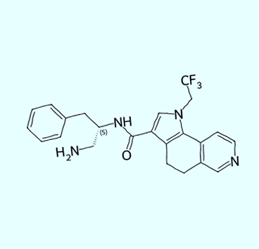 NC[C@H](Cc1ccccc1)NC(=O)c1cn(CC(F)(F)F)c2c1CCc1cnccc1-2